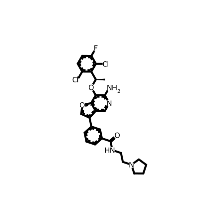 C[C@@H](Oc1c(N)ncc2c(-c3cccc(C(=O)NCCN4CCCC4)c3)coc12)c1c(Cl)ccc(F)c1Cl